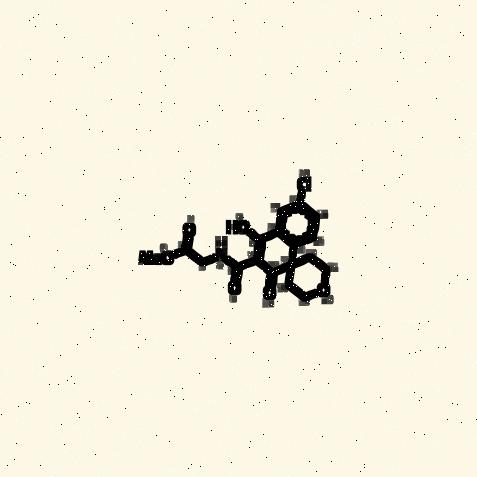 COC(=O)CNC(=O)C1=C(O)c2cc(Cl)ccc2C2(CCOCC2)C1=O